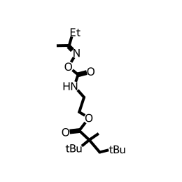 CCC(C)=NOC(=O)NCCOC(=O)C(C)(CC(C)(C)C)C(C)(C)C